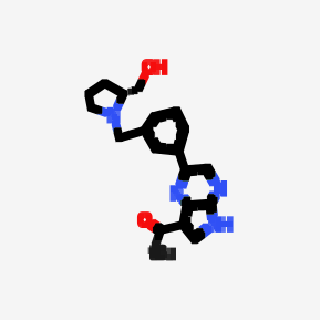 CC(C)(C)C(=O)c1c[nH]c2ncc(-c3cccc(CN4CCC[C@@H]4CO)c3)nc12